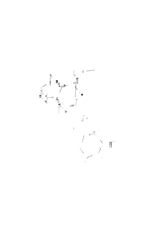 Oc1nc(SCc2cccc(F)c2)nc2[nH]cnc12